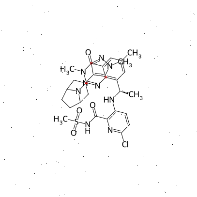 Cc1cc([C@@H](C)Nc2ccc(Cl)nc2C(=O)NS(C)(=O)=O)c2nc(N3C4CCC3CN(c3cnn(C)c3)C4)n(C)c(=O)c2c1